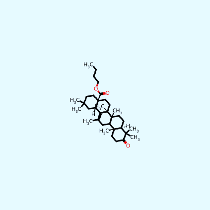 CCCCOC(=O)[C@]12CCC(C)(C)C[C@H]1C1=C(C)CC3[C@@]4(C)CCC(=O)C(C)(C)[C@@H]4CC[C@@]3(C)[C@]1(C)CC2